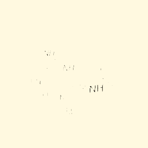 CCCCCC.N=C(N)NC(=N)N(Cl)Cl